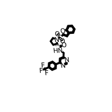 O=C(NCc1cc(-c2ccc(C(F)(F)F)cc2)ncn1)[C@@H]1CCCN1S(=O)(=O)c1cc2ccccc2o1